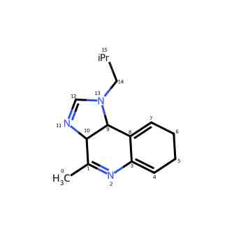 CC1=NC2=CCCC=C2C2C1N=CN2CC(C)C